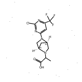 CC(C(=O)O)N1C[C@H]2C[C@@H]1CN2c1cc(C(F)(F)F)nc(Cl)n1